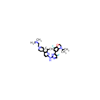 CC(C)c1nc(Nc2ncc(F)c(-c3cc(F)c4c(c3)N(C(C)C)CCO4)n2)ccc1C1CCN(CCN(C)C)CC1